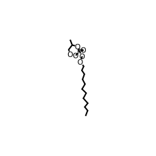 CCCCCCCCCCCCOOP1(=O)OOCC(C)O1